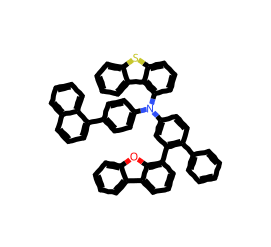 c1ccc(-c2ccc(N(c3ccc(-c4cccc5ccccc45)cc3)c3cccc4sc5ccccc5c34)cc2-c2cccc3c2oc2ccccc23)cc1